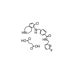 O=C(NCc1cccc(F)n1)c1ccc(CNc2c(Cl)ccc3c2CCNCC3)cc1.O=C(O)CCC(=O)O